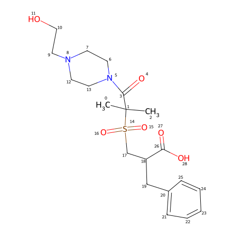 CC(C)(C(=O)N1CCN(CCO)CC1)S(=O)(=O)CC(Cc1ccccc1)C(=O)O